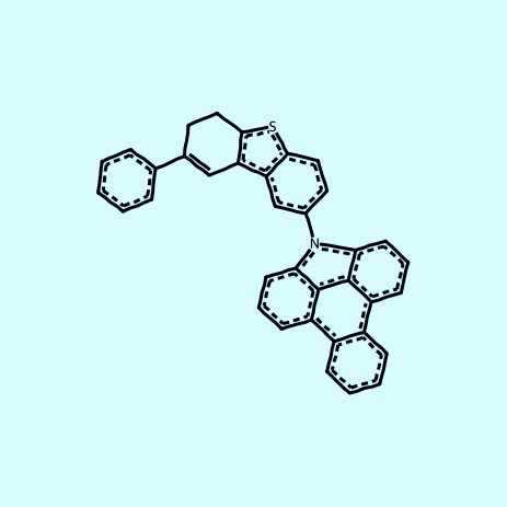 C1=C(c2ccccc2)CCc2sc3ccc(-n4c5cccc6c7ccccc7c7cccc4c7c65)cc3c21